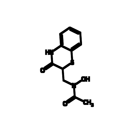 CC(=O)N(O)CC1Sc2ccccc2NC1=O